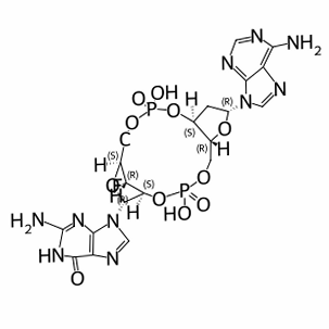 Nc1nc2c(ncn2[C@@H]2O[C@H]3COP(=O)(O)O[C@H]4C[C@H](n5cnc6c(N)ncnc65)O[C@@H]4COP(=O)(O)O[C@@H]2[C@@H]3F)c(=O)[nH]1